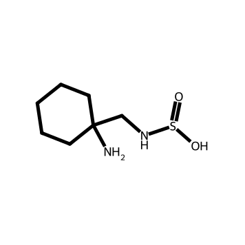 NC1(CNS(=O)O)CCCCC1